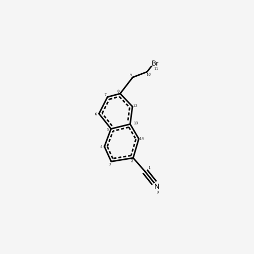 N#Cc1ccc2ccc(CCBr)cc2c1